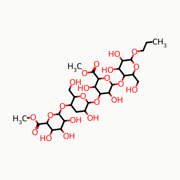 CCCOC1OC(CO)C(OC2OC(C(=O)OC)C(O)C(OC3OC(CO)C(OC4OC(C(=O)OC)C(O)C(O)C4O)CC3O)C2O)C(O)C1O